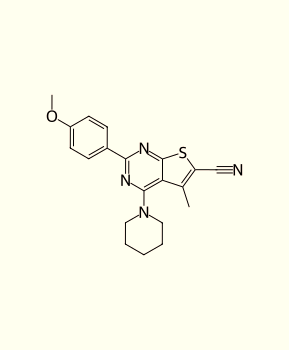 COc1ccc(-c2nc(N3CCCCC3)c3c(C)c(C#N)sc3n2)cc1